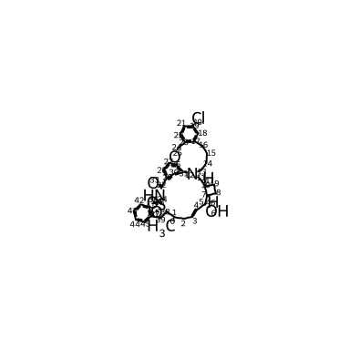 C[C@@H]1C/C=C/[C@H](O)[C@@H]2CC[C@H]2CN2CCCCc3cc(Cl)ccc3COc3ccc(cc32)C(=O)NS(=O)(=O)C1Cc1ccccc1